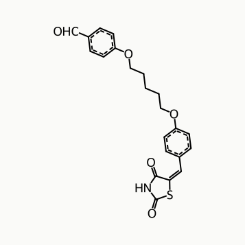 O=Cc1ccc(OCCCCCOc2ccc(C=C3SC(=O)NC3=O)cc2)cc1